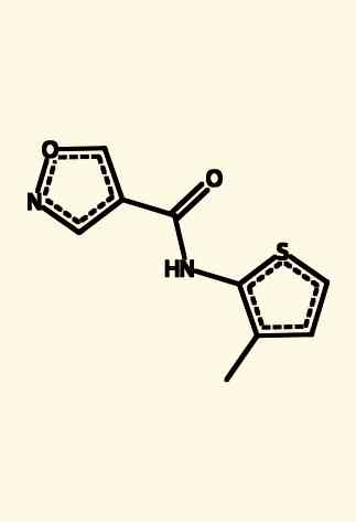 Cc1ccsc1NC(=O)c1cnoc1